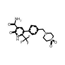 NC(=O)c1cc(-c2ccc(CN3CCS(=O)(=O)CC3)cc2)c(C(F)(F)F)[nH]c1=O